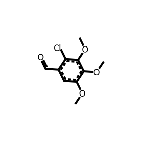 COc1cc(C=O)c(Cl)c(OC)c1OC